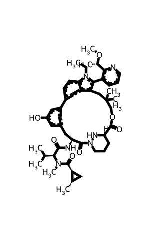 CCn1c(-c2cccnc2[C@H](C)OC)c2c3cc(ccc31)-c1cc(O)cc(c1)C[C@H](NC(=O)[C@H](C(C)C)N(C)C(=O)[C@H]1C[C@@H]1C)C(=O)N1CCC[C@H](N1)C(=O)OCC(C)(C)C2